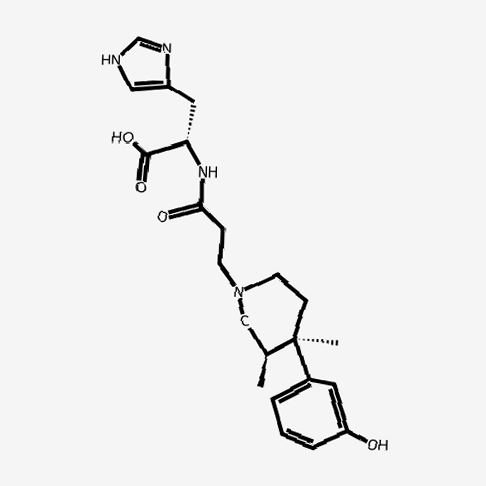 C[C@H]1CN(CCC(=O)N[C@@H](Cc2c[nH]cn2)C(=O)O)CC[C@@]1(C)c1cccc(O)c1